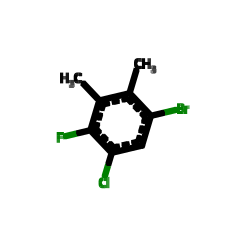 Cc1c(Br)cc(Cl)c(F)c1C